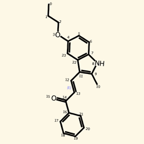 CCCOc1ccc2[nH]c(C)c(/C=C/C(=O)c3ccccc3)c2c1